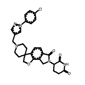 O=C1CCC(N2Cc3c(ccc4c3OCC43CCN(Cc4cnn(-c5ccc(Cl)cc5)c4)CC3)C2=O)C(=O)N1